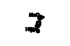 COc1cc(C)cc(C2CCC3(CC2)CN(C(=O)[C@H]2C[C@@](C)(O)C2)C3)c1